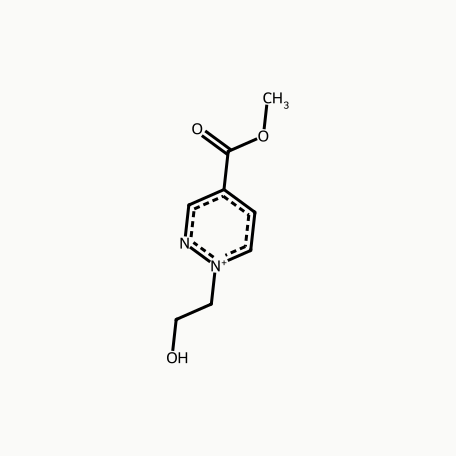 COC(=O)c1cc[n+](CCO)nc1